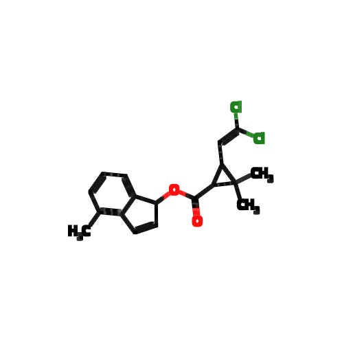 Cc1cccc2c1C=CC2OC(=O)C1C(C=C(Cl)Cl)C1(C)C